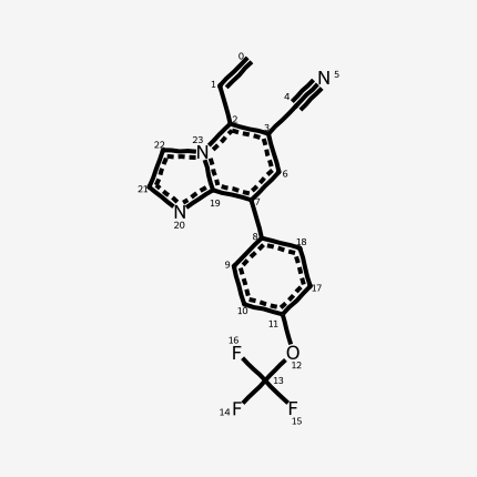 C=Cc1c(C#N)cc(-c2ccc(OC(F)(F)F)cc2)c2nccn12